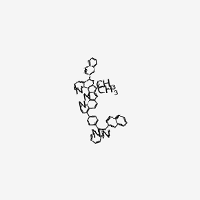 CC1(C)c2cc3ccc4c(-c5ccc(-c6c(-c7ccc8ccccc8c7)nc7ccccn67)cc5)ccnc4c3nc2-c2c1cc(-c1ccc3ccccc3c1)c1cccnc21